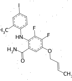 C/C=C/COc1cc(C(N)=O)c(Nc2ccc(I)cc2C)c(F)c1F